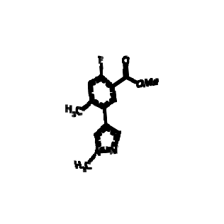 COC(=O)c1cc(-c2cnn(C)c2)c(C)cc1F